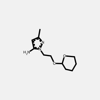 Cc1cc(N)n(CCOC2CCCCO2)n1